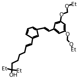 CCOCOc1cc(C=Cc2cccc(C=CCCCCC(O)(CC)CC)c2)cc(OCOCC)c1